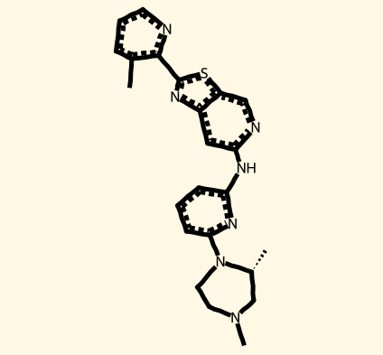 Cc1cccnc1-c1nc2cc(Nc3cccc(N4CCN(C)C[C@H]4C)n3)ncc2s1